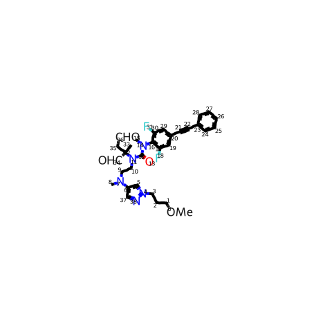 COCCCn1cc(N(C)CCN(C(=O)N(C)c2c(F)cc(C#Cc3ccccc3)cc2F)C(C)(C=O)CC=O)cn1